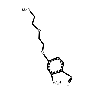 COCCOCCOc1ccc(I=O)c(S(=O)(=O)O)c1